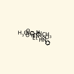 CCn1c(SC(C)C(=O)Nc2ccccc2)nnc1-c1ccc(S(C)(=O)=O)cn1